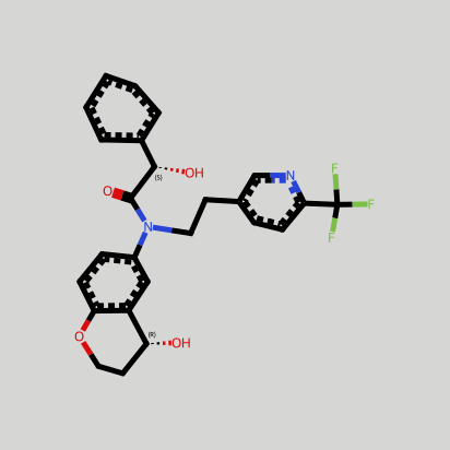 O=C([C@@H](O)c1ccccc1)N(CCc1ccc(C(F)(F)F)nc1)c1ccc2c(c1)[C@H](O)CCO2